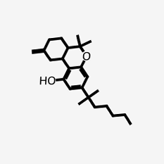 C=C1CCC2C(C1)c1c(O)cc(C(C)(C)CCCCC)cc1OC2(C)C